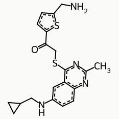 Cc1nc(SCC(=O)c2ccc(CN)s2)c2cc(NCC3CC3)ccc2n1